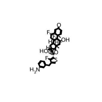 C[C@]12C=CC(=O)C=C1[C@@H](F)C[C@H]1[C@@H]3C[C@H]4O[C@@H](c5scc(Cc6cccc(N)c6)c5F)O[C@@]4(C(=O)CO)[C@@]3(C)C[C@H](O)[C@@]12F